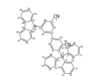 N#Cc1cc(-c2ccc([Si](c3ccccc3)(c3ccccc3)c3ccccc3)c(C#N)c2)cc(-n2c3ccccc3c3ccccc32)c1